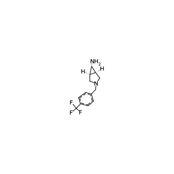 N[C@@H]1[C@H]2CN(Cc3ccc(C(F)(F)F)cc3)C[C@@H]12